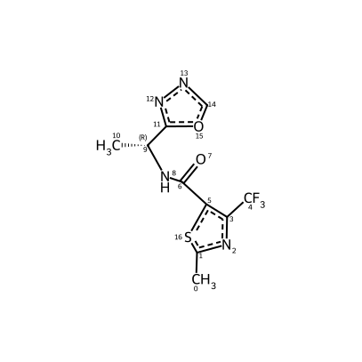 Cc1nc(C(F)(F)F)c(C(=O)N[C@H](C)c2nnco2)s1